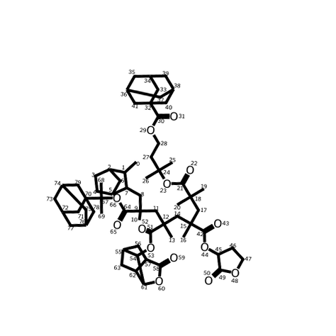 CC1C2CCC(C2)C1CC(C)(CC(C)(CC(C)(CC(C)(C)C(=O)OC(C)(C)CCOC(=O)C12CC3CC(CC(C3)C1)C2)C(=O)OC1CCOC1=O)C(=O)OC1C2CC3C(=O)OC1C3C2)C(=O)OC(C)(C)C12CC3CC(CC(C3)C1)C2